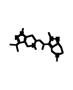 CC(C)c1nn(C)c2c1CN(C)C(CC(C)c1c3c(nn1C)CCN(C)C3)C2